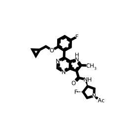 CC(=O)N1C[C@H](NC(=O)c2c(C)[nH]c3c(-c4cc(F)ccc4OCC4CC4)ncnc23)[C@@H](F)C1